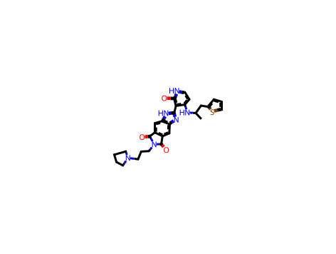 CC(Cc1cccs1)Nc1cc[nH]c(=O)c1-c1nc2cc3c(cc2[nH]1)C(=O)N(CCCN1CCCC1)C3=O